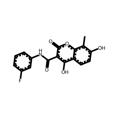 Cc1c(O)ccc2c(O)c(C(=O)Nc3cccc(F)c3)c(=O)oc12